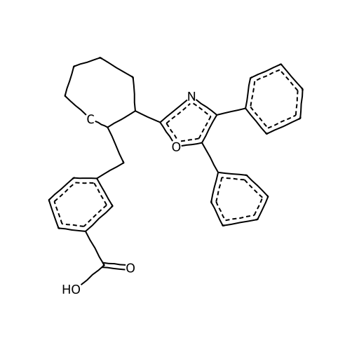 O=C(O)c1cccc(CC2CCCCCC2c2nc(-c3ccccc3)c(-c3ccccc3)o2)c1